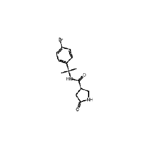 CC(C)(NC(=O)C1CNC(=O)C1)c1ccc(Br)cc1